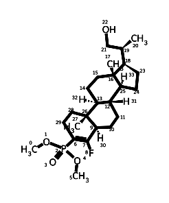 COP(=O)(OC)C1=C(F)[C@@H]2CC[C@@H]3[C@H](CC[C@]4(C)[C@@H]([C@H](C)CO)CC[C@@H]34)[C@@]2(C)CC1